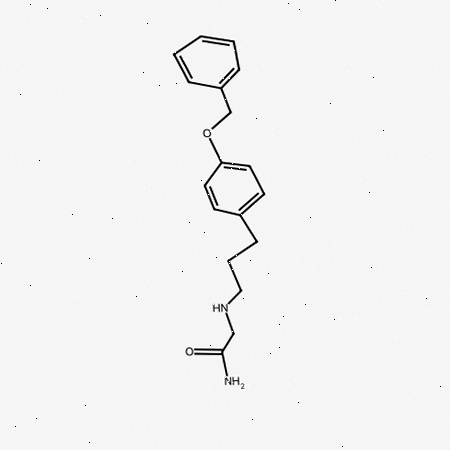 NC(=O)CNCCCc1ccc(OCc2ccccc2)cc1